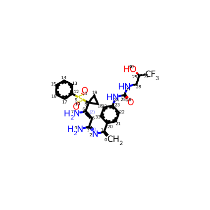 C=C(/N=C(N)\C=C(/N)C1(S(=O)(=O)c2ccccc2)CC1)c1ccc(NC(=O)NCC(O)C(F)(F)F)cc1